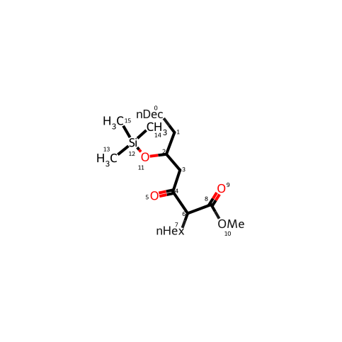 CCCCCCCCCCCC(CC(=O)C(CCCCCC)C(=O)OC)O[Si](C)(C)C